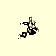 O=C1Nc2ccc(F)cc2C(CCc2ccc(Cl)cc2)(c2ccccc2)N1CC(F)F